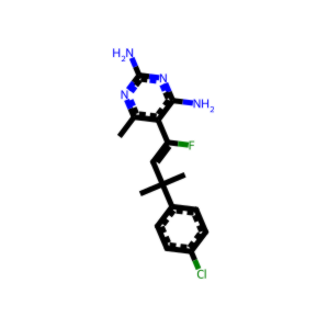 Cc1nc(N)nc(N)c1C(F)=CC(C)(C)c1ccc(Cl)cc1